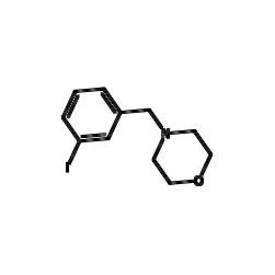 Ic1cccc(CN2CCOCC2)c1